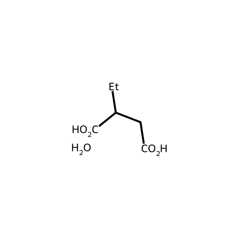 CCC(CC(=O)O)C(=O)O.O